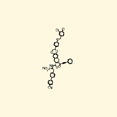 N#Cc1ccc(-c2ccc(C[C@H](NC(=O)[C@@H]3Cc4cc5c(cc4CN3C(=O)C#Cc3ccccc3)OC(c3ccc(OCc4ccc(Cl)c(Cl)c4)cc3)CO5)C(=O)O)cc2)cc1